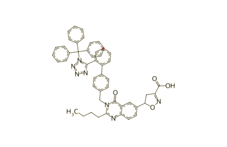 CCCCc1nc2ccc(C3CC(C(=O)O)=NO3)cc2c(=O)n1Cc1ccc(-c2ccccc2-c2nnnn2C(c2ccccc2)(c2ccccc2)c2ccccc2)cc1